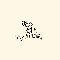 COc1cc(NC(=O)c2nc(OCC3CCCN3C)nc(N3CCN(C(=O)O)C(CC#N)C3)c2N)c2ccccc2c1